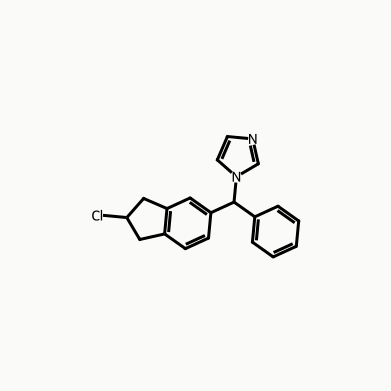 ClC1Cc2ccc(C(c3ccccc3)n3ccnc3)cc2C1